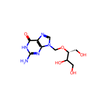 Nc1nc2c(ncn2CO[C@H](CO)C(O)CO)c(=O)[nH]1